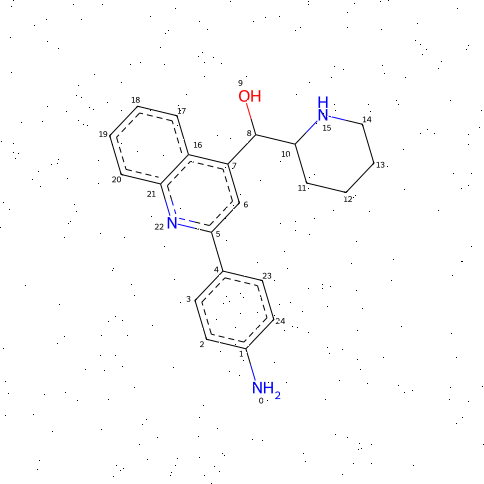 Nc1ccc(-c2cc(C(O)C3CCCCN3)c3ccccc3n2)cc1